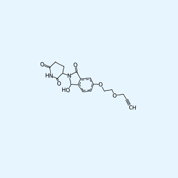 C#CCOCCOc1ccc2c(c1)C(=O)N(C1CCC(=O)NC1=O)C2O